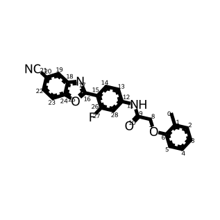 Cc1ccccc1OCC(=O)Nc1ccc(-c2nc3cc(C#N)ccc3o2)c(F)c1